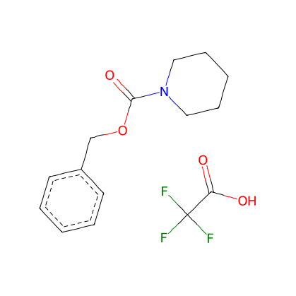 O=C(O)C(F)(F)F.O=C(OCc1ccccc1)N1CCCCC1